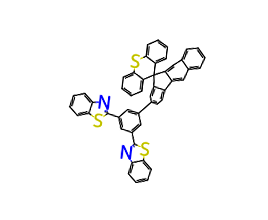 c1ccc2c(c1)Sc1ccccc1C21c2cc(-c3cc(-c4nc5ccccc5s4)cc(-c4nc5ccccc5s4)c3)ccc2-c2cc3ccccc3cc21